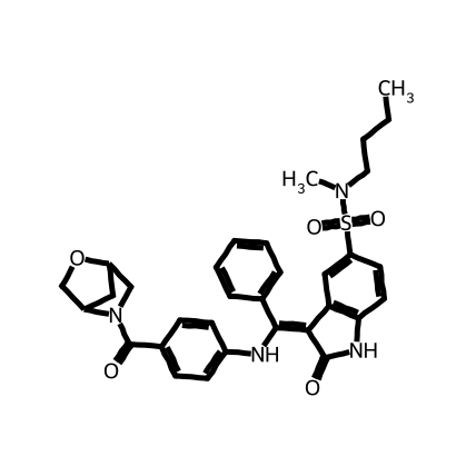 CCCCN(C)S(=O)(=O)c1ccc2c(c1)/C(=C(/Nc1ccc(C(=O)N3CC4CC3CO4)cc1)c1ccccc1)C(=O)N2